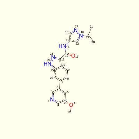 COc1cncc(-c2ccc3c(C(=O)Nc4cnn(C(C)C)c4)n[nH]c3c2)c1